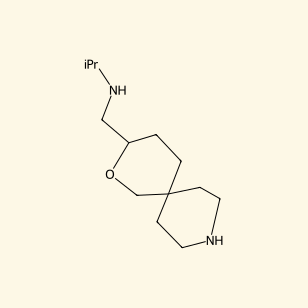 CC(C)NCC1CCC2(CCNCC2)CO1